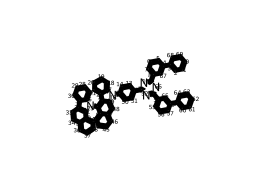 c1ccc(-c2cccc(-c3nc(-c4ccc(-n5c6ccccc6c6c(-n7c8ccccc8c8ccc9ccccc9c87)c7ccccc7cc65)cc4)nc(-c4cccc(-c5ccccc5)c4)n3)c2)cc1